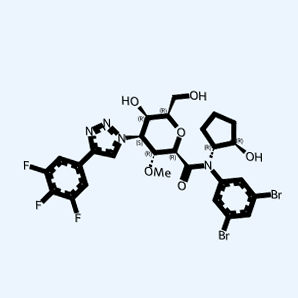 CO[C@@H]1[C@@H](n2cc(-c3cc(F)c(F)c(F)c3)nn2)[C@@H](O)[C@@H](CO)O[C@H]1C(=O)N(c1cc(Br)cc(Br)c1)[C@@H]1CCC[C@H]1O